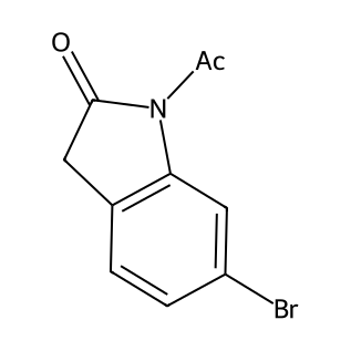 CC(=O)N1C(=O)Cc2ccc(Br)cc21